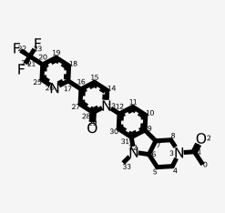 CC(=O)N1CCC2C(C1)c1ccc(-n3ccc(-c4ccc(C(F)(F)F)cn4)cc3=O)cc1N2C